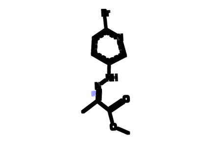 COC(=O)/C(C)=N\Nc1ccc(Br)nc1